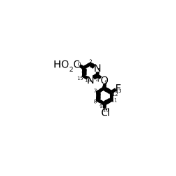 O=C(O)c1cnc(Oc2ccc(Cl)cc2F)nc1